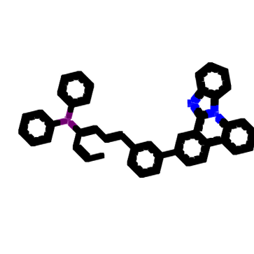 C\C=C/C(=C\C=C\c1cccc(-c2ccc3c4ccccc4n4c5ccccc5nc4c3c2)c1)P(c1ccccc1)c1ccccc1